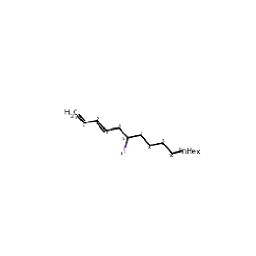 C=CC=CCC(I)CCCCCCCCCC